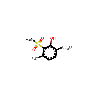 CCOC(=O)c1ccc(C(F)(F)F)c(S(=O)(=O)NC)c1O